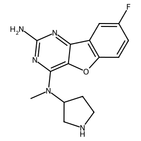 CN(c1nc(N)nc2c1oc1ccc(F)cc12)C1CCNC1